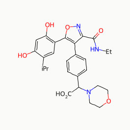 CCNC(=O)c1noc(-c2cc(C(C)C)c(O)cc2O)c1-c1ccc(C(C(=O)O)N2CCOCC2)cc1